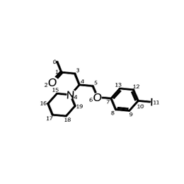 CC(=O)CC(COc1ccc(I)cc1)N1CCCCC1